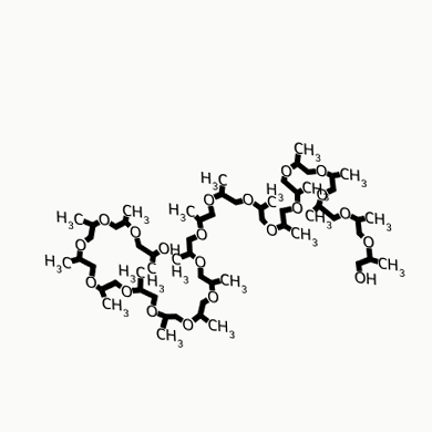 CC(O)COC(C)COC(C)COC(C)COC(C)COC(C)COC(C)COC(C)COC(C)COC(C)COC(C)COC(C)COC(C)COC(C)COC(C)COC(C)COC(C)COC(C)COC(C)COC(C)CO